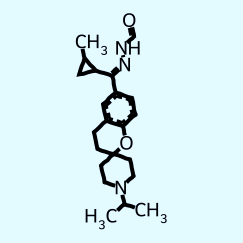 CC1CC1/C(=N\NC=O)c1ccc2c(c1)CCC1(CCN(C(C)C)CC1)O2